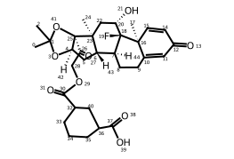 CC1(C)O[C@@H]2C[C@H]3[C@@H]4CCC5=CC(=O)C=C[C@]5(C)[C@@]4(F)[C@@H](O)C[C@]3(C)[C@]2(C(=O)COC(=O)C2CCCC(C(=O)O)C2)O1